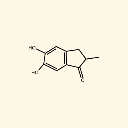 CC1Cc2cc(O)c(O)cc2C1=O